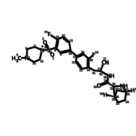 CN1CCN(S(=O)(=O)c2cc(-c3ccc(C[C@@H](C#N)NC(=O)[C@H]4N[C@@H]5CC[C@H]4C5)c(F)c3)ccc2F)CC1